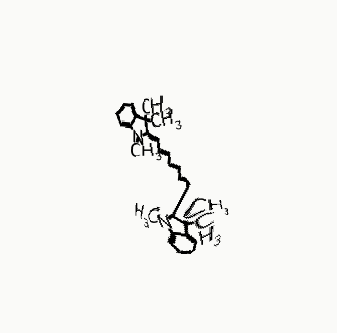 CN1\C(=C/C=C/C=C/C=C/C2N(C)c3ccccc3C2(C)C)C(C)(C)c2ccccc21